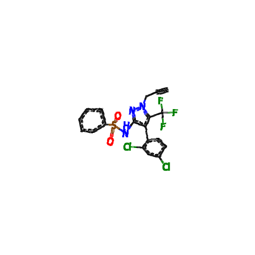 C#CCn1nc(NS(=O)(=O)c2ccccc2)c(-c2ccc(Cl)cc2Cl)c1C(F)(F)F